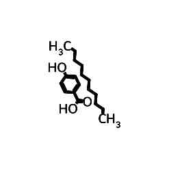 CCCCCCCCCCC.O=C(O)c1ccc(O)cc1